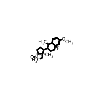 CC[C@@]1(C)C(C2CCC3(F)C=C(OC)C=CC3C2C)CC[C@@H]1N=O